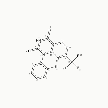 O=c1[nH]c(=O)n(-c2ccccc2Br)c2nc(C(F)(F)F)ccc12